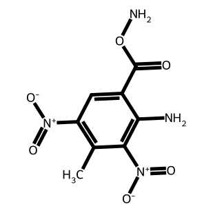 Cc1c([N+](=O)[O-])cc(C(=O)ON)c(N)c1[N+](=O)[O-]